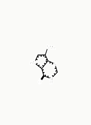 CNc1c[nH]c2c(=O)[nH]cnc12